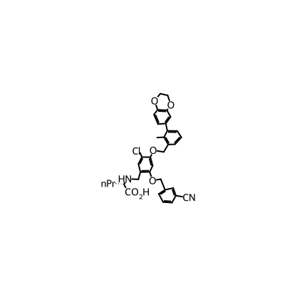 CCC[C@H](NCc1cc(Cl)c(OCc2cccc(-c3ccc4c(c3)OCCO4)c2C)cc1OCc1cccc(C#N)c1)C(=O)O